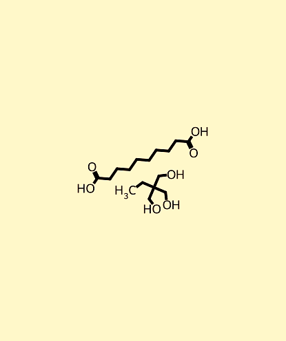 CCC(CO)(CO)CO.O=C(O)CCCCCCCCC(=O)O